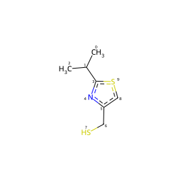 CC(C)c1nc(CS)cs1